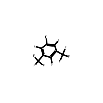 Fc1c(F)c(C(F)(F)F)c(F)c(C(F)(F)F)c1F